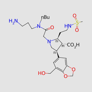 CCCCN(CCCN)C(=O)CN1C[C@H](c2cc(CO)c3c(c2)OCO3)[C@@H](C(=O)O)[C@@H]1CCNS(C)(=O)=O